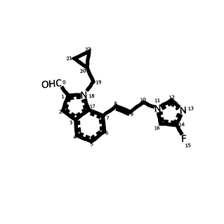 O=Cc1cc2cccc(C=CCn3cnc(F)c3)c2n1CC1CC1